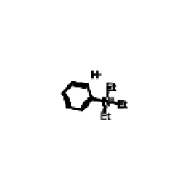 CC[N+](CC)(CC)c1ccccc1.[H]